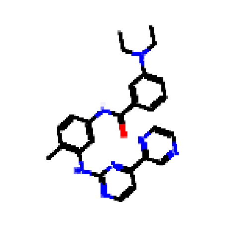 CCN(CC)c1cccc(C(=O)Nc2ccc(C)c(Nc3nccc(-c4cnccn4)n3)c2)c1